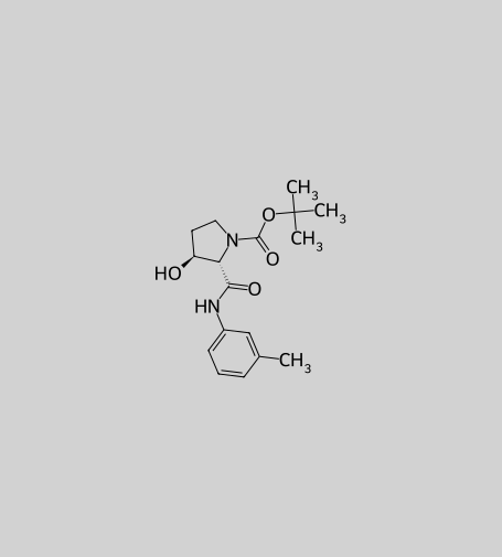 Cc1cccc(NC(=O)[C@@H]2[C@@H](O)CCN2C(=O)OC(C)(C)C)c1